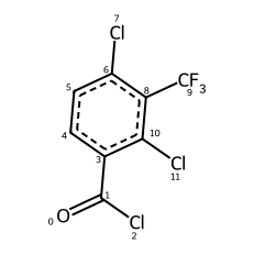 O=C(Cl)c1ccc(Cl)c(C(F)(F)F)c1Cl